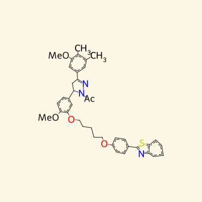 COc1ccc(C2CC(c3cc(C)c(C)c(OC)c3)=NN2C(C)=O)cc1OCCCCCOc1ccc(-c2nc3ccccc3s2)cc1